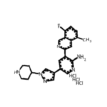 Cc1ccc(F)c2cnc(-c3cc(-c4cnn(C5CCNCC5)c4)cnc3N)cc12.Cl.Cl.Cl